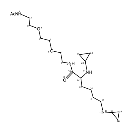 CC(=O)NCCOCCOCCNC(=O)C(CCCCNC1CC1)NC1CC1